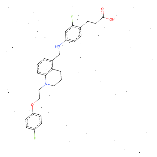 O=C(O)CCc1ccc(NCc2cccc3c2CCCN3CCOc2ccc(F)cc2)cc1F